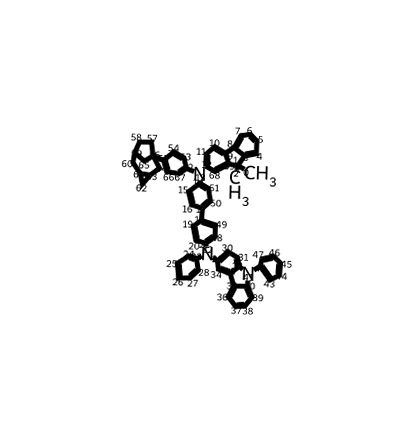 CC1(C)c2ccccc2-c2ccc(N(c3ccc(-c4ccc(N(c5ccccc5)c5ccc6c(c5)c5ccccc5n6-c5ccccc5)cc4)cc3)c3ccc(C45CCC(CC6CC6C4)C5)cc3)cc21